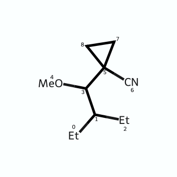 CCC(CC)C(OC)C1(C#N)CC1